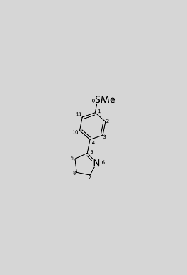 CSc1ccc(C2=NCCC2)cc1